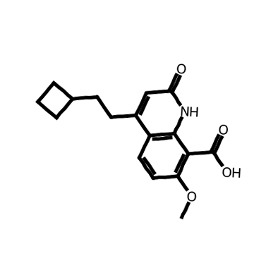 COc1ccc2c(CCC3CCC3)cc(=O)[nH]c2c1C(=O)O